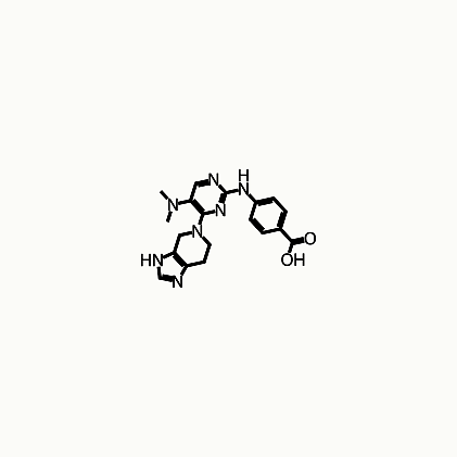 CN(C)c1cnc(Nc2ccc(C(=O)O)cc2)nc1N1CCc2nc[nH]c2C1